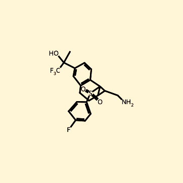 CC(O)(c1ccc2c(c1)CCC1C(CN)C21S(=O)(=O)c1ccc(F)cc1)C(F)(F)F